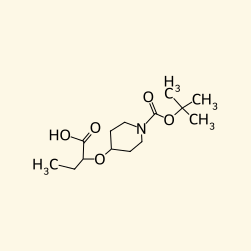 CCC(OC1CCN(C(=O)OC(C)(C)C)CC1)C(=O)O